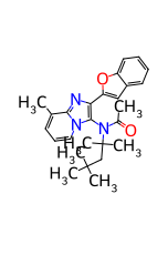 CC(=O)N(c1c(-c2cc3ccccc3o2)nc2c(C)cccn12)C(C)(C)CC(C)(C)C